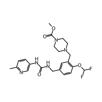 COC(=O)N1CCN(Cc2cc(CNC(=O)Nc3ccc(C)nc3)ccc2OC(F)F)CC1